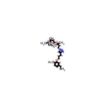 BCc1ccc(OC(C)=O)c(OCCCc2cn(CCC(C)(C)OCCC(C)(C)ON(C)C)nn2)c1